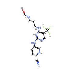 N#Cc1ccc(Nc2ncc(C(F)(F)F)c(NCCCNC=O)n2)cn1